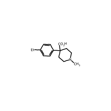 CCc1ccc(C2(C(=O)O)CCN(C)CC2)cc1